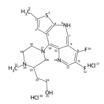 Cc1cc2c(s1)NC=c1c(F)c(F)cnc1=C2N1CCN(C)C(CCO)C1.Cl.Cl